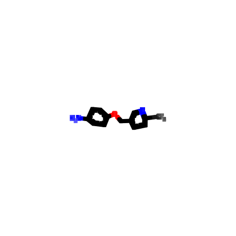 Nc1ccc(OCc2ccc(C(F)(F)F)nc2)cc1